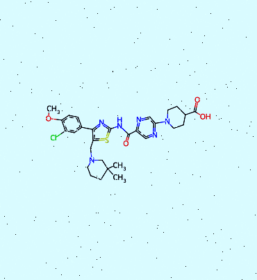 COc1ccc(-c2nc(NC(=O)c3cnc(N4CCC(C(=O)O)CC4)cn3)sc2CN2CCCC(C)(C)C2)cc1Cl